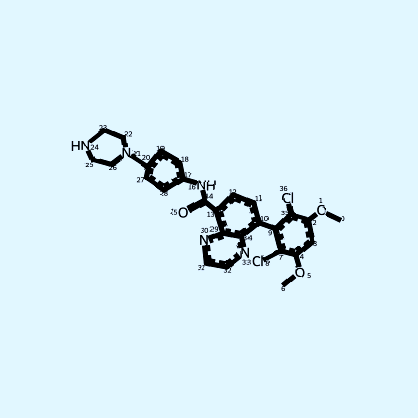 COc1cc(OC)c(Cl)c(-c2ccc(C(=O)Nc3ccc(N4CCNCC4)cc3)c3nccnc23)c1Cl